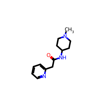 CN1CCC(NC(=O)Cc2ccccn2)CC1